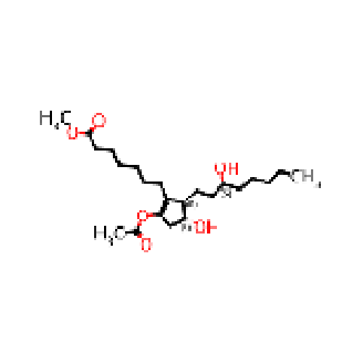 CCCCC[C@H](O)CC[C@@H]1C(CCCCCCC(=O)OC)=C(OC(C)=O)C[C@H]1O